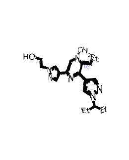 CC/C=C1/C(c2cnn(C(CC)CC)c2)=NC(c2cnn(CCO)c2)=CN1C